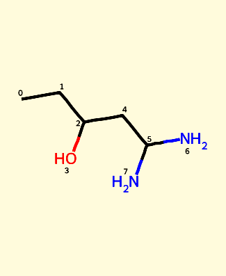 CCC(O)CC(N)N